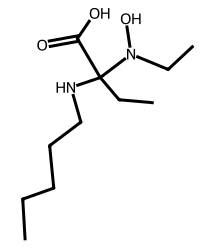 CCCCCNC(CC)(C(=O)O)N(O)CC